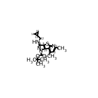 Cc1cc(C)c2c(n1)sc1c(NCC3CC3)nn(C(=O)OC(C)(C)C)c12